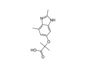 Cc1nc2c(C)cc(OC(C)(C)C(=O)O)cc2[nH]1